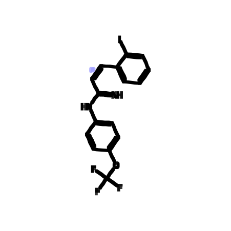 N=C(/C=C\c1ccccc1I)Nc1ccc(OC(F)(F)F)cc1